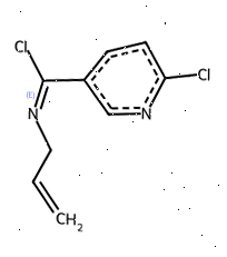 C=CC/N=C(/Cl)c1ccc(Cl)nc1